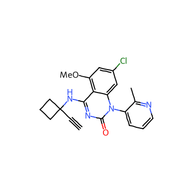 C#CC1(Nc2nc(=O)n(-c3cccnc3C)c3cc(Cl)cc(OC)c23)CCC1